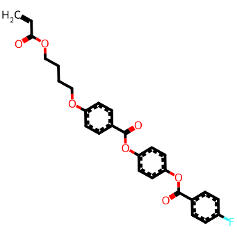 C=CC(=O)OCCCCOc1ccc(C(=O)Oc2ccc(OC(=O)c3ccc(F)cc3)cc2)cc1